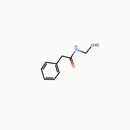 O=CCNC(=O)Cc1ccccc1